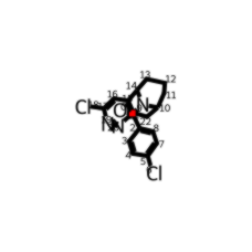 O=C(c1ccc(Cl)cc1)N1C2CCCC1c1cc(Cl)nnc1C2